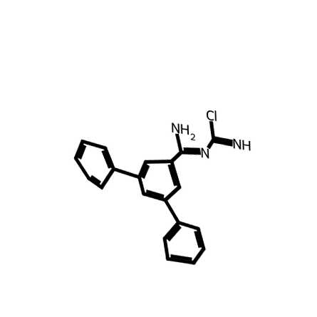 N=C(Cl)/N=C(\N)c1cc(-c2ccccc2)cc(-c2ccccc2)c1